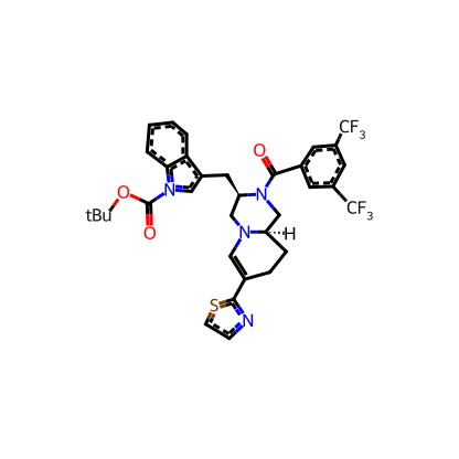 CC(C)(C)OC(=O)n1cc(C[C@@H]2CN3C=C(c4nccs4)CC[C@@H]3CN2C(=O)c2cc(C(F)(F)F)cc(C(F)(F)F)c2)c2ccccc21